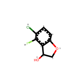 OC1COc2ccc(Cl)c(F)c21